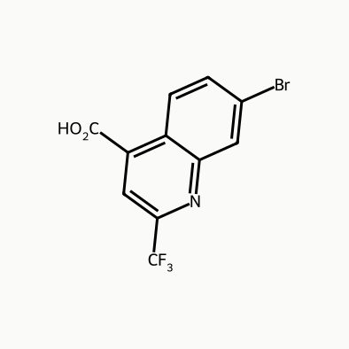 O=C(O)c1cc(C(F)(F)F)nc2cc(Br)ccc12